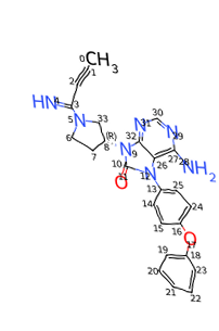 CC#CC(=N)N1CC[C@@H](n2c(=O)n(-c3ccc(Oc4ccccc4)cc3)c3c(N)ncnc32)C1